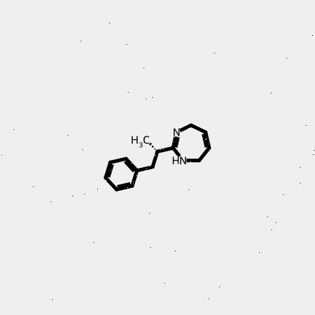 C[C@@H](Cc1ccccc1)C1=NCC=CCN1